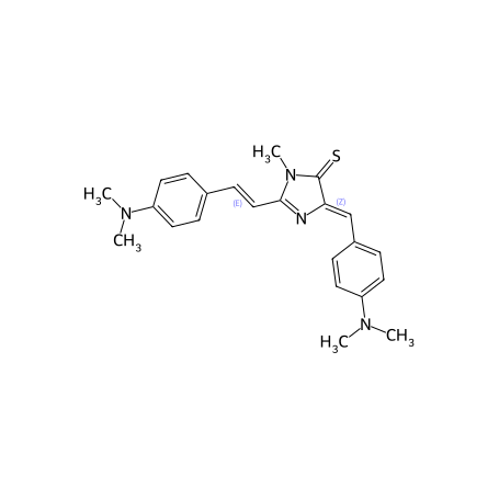 CN1C(=S)/C(=C/c2ccc(N(C)C)cc2)N=C1/C=C/c1ccc(N(C)C)cc1